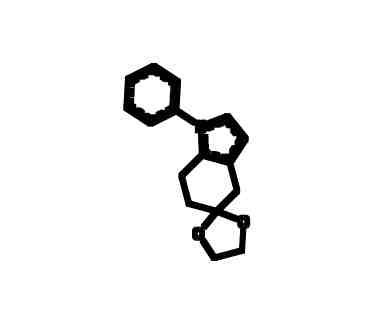 c1ccc(-n2ccc3c2CCC2(C3)OCCO2)cc1